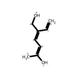 C=C/C(=C\C=C(/C)O)CO